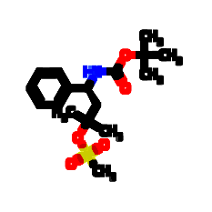 CC(C)(C)OC(=O)N[C@@H](CC(C)(C)OS(C)(=O)=O)c1ccccc1